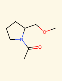 COCC1CCCN1C(C)=O